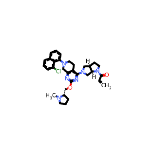 C=CC(=O)N1CC[C@@H]2CN(c3nc(OC[C@@H]4CCCN4C)nc4c3CCN(c3cccc5cccc(Cl)c35)C4)C[C@@H]21